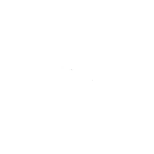 CCC(=O)Nc1cccc(F)c1COc1cc(C)c(C)cc1C(F)(F)F